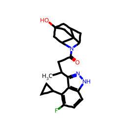 CC(CC(=O)N1C2CC3CC1CC(O)(C3)C2)c1n[nH]c2ccc(F)c(C3CC3)c12